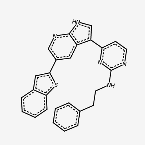 c1ccc(CCNc2nccc(-c3c[nH]c4ncc(-c5cc6ccccc6s5)cc34)n2)cc1